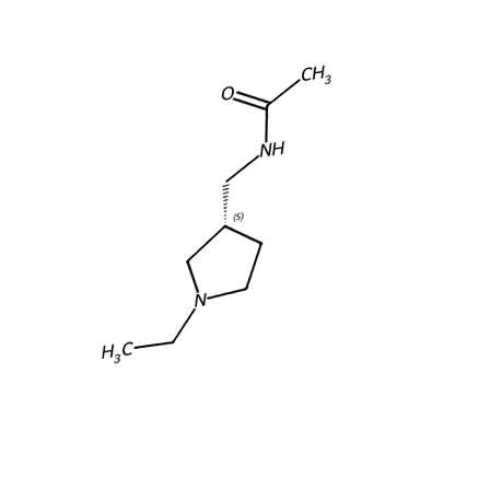 CCN1CC[C@@H](CNC(C)=O)C1